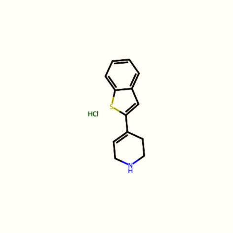 C1=C(c2cc3ccccc3s2)CCNC1.Cl